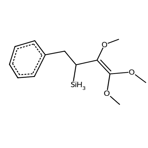 COC(OC)=C(OC)C([SiH3])Cc1ccccc1